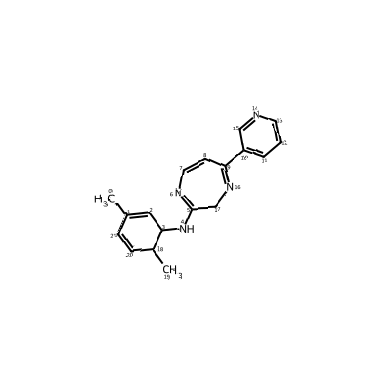 CC1=CC(NC2=NC=CC(c3cccnc3)=NC2)C(C)C=C1